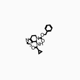 O=C(NC1c2scnc2CCN1C(=O)OCc1ccccc1)C1CC1